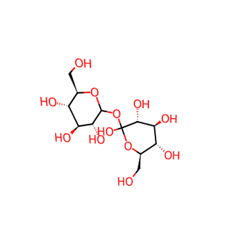 OC[C@H]1OC(O)(OC2O[C@H](CO)[C@@H](O)[C@H](O)[C@H]2O)[C@H](O)[C@@H](O)[C@@H]1O